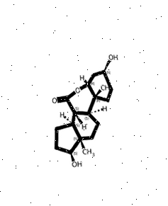 C[C@]12CC[C@H](O)C[C@H]1OC(=O)[C@@H]1[C@@H]2CC[C@]2(C)[C@@H](O)CC[C@@H]12